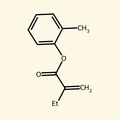 C=C(CC)C(=O)Oc1ccccc1C